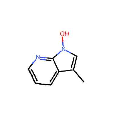 Cc1cn(O)c2ncccc12